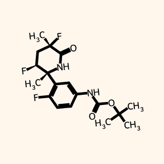 CC(C)(C)OC(=O)Nc1ccc(F)c([C@@]2(C)NC(=O)[C@@](C)(F)C[C@@H]2F)c1